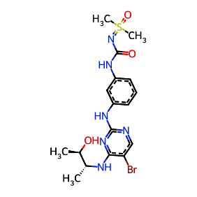 C[C@@H](O)[C@@H](C)Nc1nc(Nc2cccc(NC(=O)N=S(C)(C)=O)c2)ncc1Br